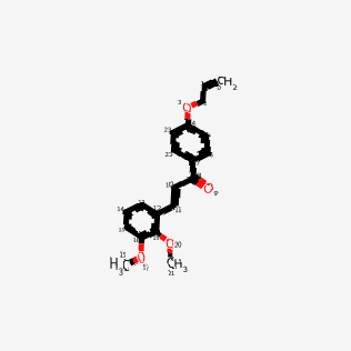 C=CCOc1ccc(C(=O)/C=C/c2cccc(OC)c2OC)cc1